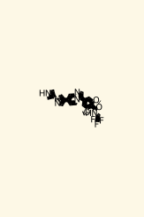 COc1cc(-c2cnc3cc(-c4cnn(C5CNC5)c4)ccn23)cc(OC)c1C(=O)NCC(F)(F)F